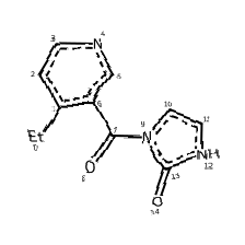 CCc1ccncc1C(=O)n1cc[nH]c1=O